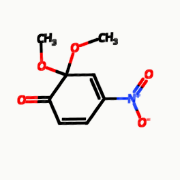 COC1(OC)C=C([N+](=O)[O-])C=CC1=O